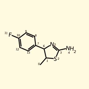 CC1SC(N)=NC1c1ccc(F)cc1